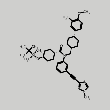 COc1ccc([C@H]2CC[C@H](CN(c3cccc(C#Cc4ncn(C)n4)c3)C(=O)[C@H]3CC[C@H](O[Si](C)(C)C(C)(C)C)CC3)CC2)cc1C